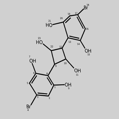 Oc1cc(Br)cc(O)c1C1C(O)C(c2c(O)cc(Br)cc2O)C1O